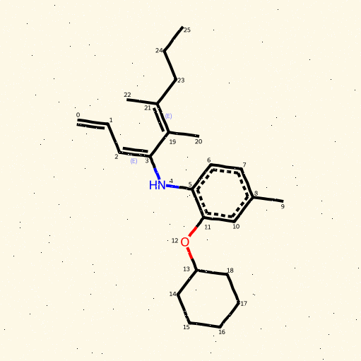 C=C/C=C(Nc1ccc(C)cc1OC1CCCCC1)\C(C)=C(/C)CCC